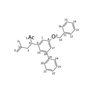 C=C(C)CC(C(C)=O)c1cc(OCc2ccccc2)cc(-c2ccccc2)c1